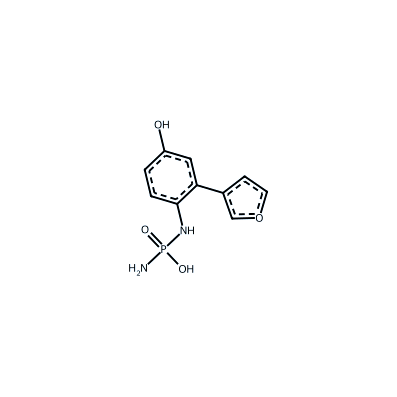 NP(=O)(O)Nc1ccc(O)cc1-c1ccoc1